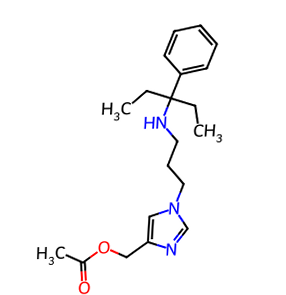 CCC(CC)(NCCCn1cnc(COC(C)=O)c1)c1ccccc1